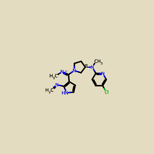 C=Nc1[nH]ccc1/C(=N\C)N1CC[C@@H](N(C)c2ccc(Cl)cn2)C1